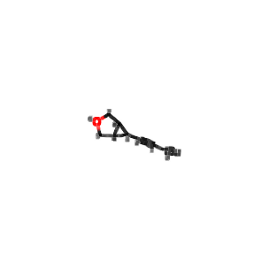 CC(C)(C)C#CC1C2COCC12